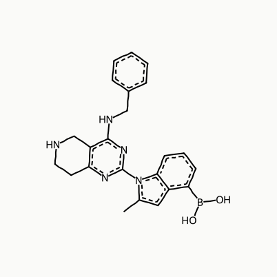 Cc1cc2c(B(O)O)cccc2n1-c1nc2c(c(NCc3ccccc3)n1)CNCC2